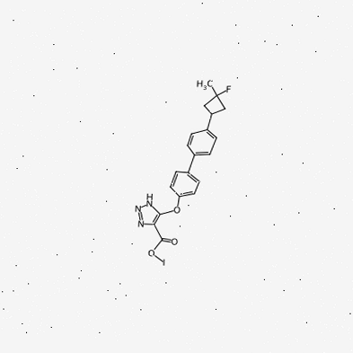 CC1(F)CC(c2ccc(-c3ccc(Oc4[nH]nnc4C(=O)OI)cc3)cc2)C1